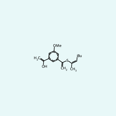 C=C(O)c1cc(OC)cc(C(=C)S/C(C)=C\C(C)CC)c1